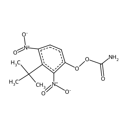 CC(C)(C)c1c([N+](=O)[O-])ccc(OOC(N)=O)c1[N+](=O)[O-]